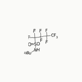 CCCCNS(=O)(=O)C(F)(F)C(F)(F)C(F)(F)C(F)(F)F